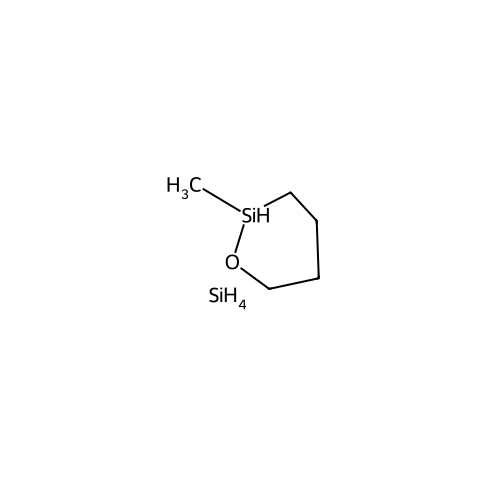 C[SiH]1CCCCO1.[SiH4]